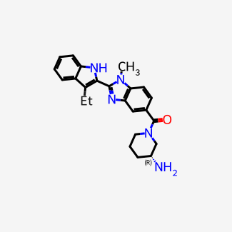 CCc1c(-c2nc3cc(C(=O)N4CCC[C@@H](N)C4)ccc3n2C)[nH]c2ccccc12